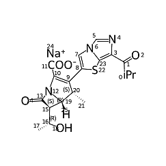 CC(C)C(=O)c1ncn2cc(C3=C(C(=O)[O-])N4C(=O)[C@H]([C@@H](C)O)[C@H]4[C@H]3C)sc12.[Na+]